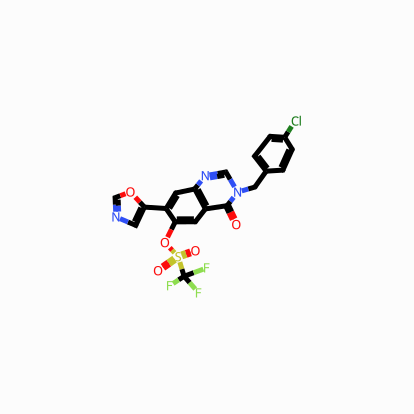 O=c1c2cc(OS(=O)(=O)C(F)(F)F)c(-c3cnco3)cc2ncn1Cc1ccc(Cl)cc1